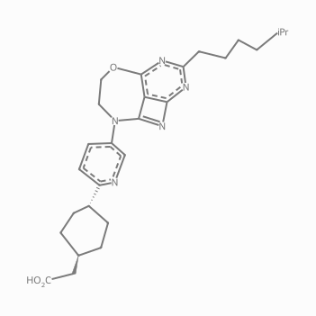 CC(C)CCCCc1nc2c3c(n1)OCCN(c1ccc([C@H]4CC[C@H](CC(=O)O)CC4)nc1)C3=N2